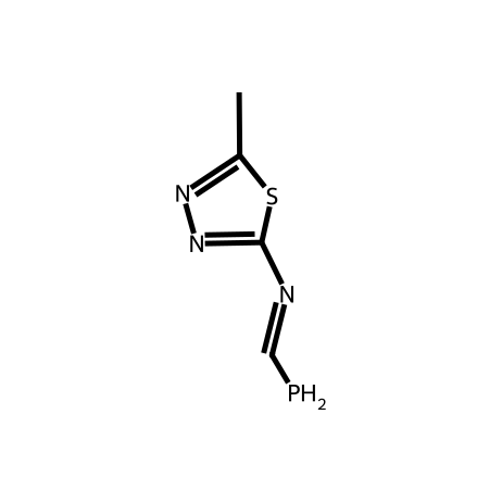 Cc1nnc(N=CP)s1